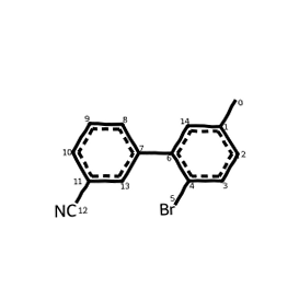 Cc1[c]cc(Br)c(-c2cccc(C#N)c2)c1